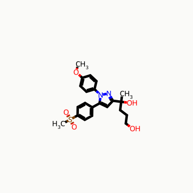 COc1ccc(-n2nc(C(C)(O)CCCO)cc2-c2ccc(S(C)(=O)=O)cc2)cc1